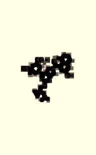 CN(C)CC1(COc2nc3c(c(N4CC(C(=O)O)CC(C)(O)C4)n2)CN(C(=O)c2cc(O)cc4cccc(I)c24)C3)CC1